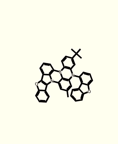 Cc1cc2c3c(c1)-n1c4c(cccc4c4oc5ccccc5c41)B3c1ccc(C(C)(C)C)cc1N2c1cccc2oc3ccccc3c12